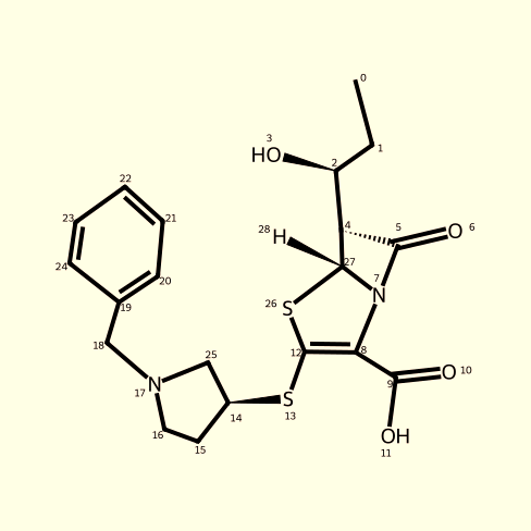 CC[C@H](O)[C@@H]1C(=O)N2C(C(=O)O)=C(S[C@H]3CCN(Cc4ccccc4)C3)S[C@H]12